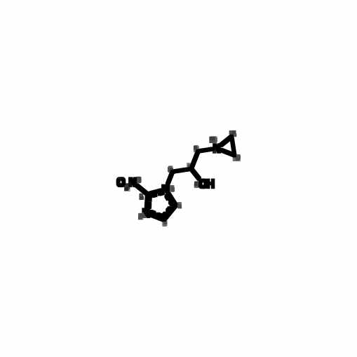 O=[N+]([O-])c1nccn1CC(O)CN1CC1